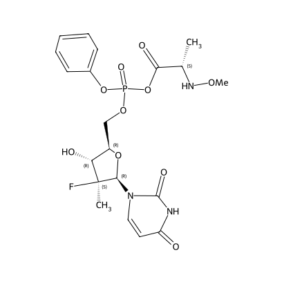 CON[C@@H](C)C(=O)OP(=O)(OC[C@H]1O[C@@H](n2ccc(=O)[nH]c2=O)[C@@](C)(F)[C@@H]1O)Oc1ccccc1